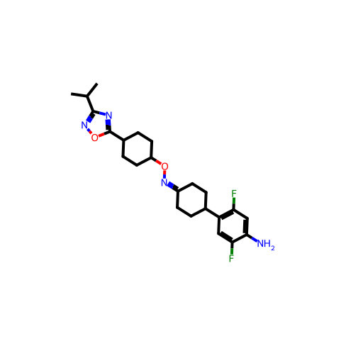 CC(C)c1noc(C2CCC(ON=C3CCC(c4cc(F)c(N)cc4F)CC3)CC2)n1